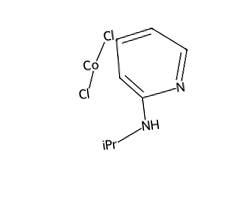 CC(C)Nc1ccccn1.[Cl][Co][Cl]